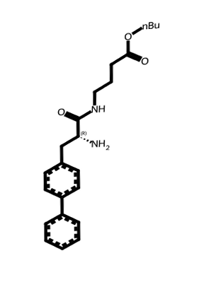 CCCCOC(=O)CCCNC(=O)[C@H](N)Cc1ccc(-c2ccccc2)cc1